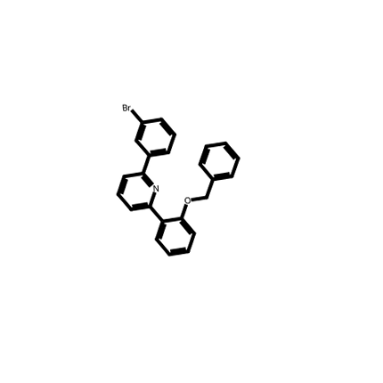 Brc1cccc(-c2cccc(-c3ccccc3OCc3ccccc3)n2)c1